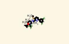 CCSc1ccc(-c2cc(F)cc(F)c2)nc1/C(C)=N/C(/C=C(\CC1CC1)C(F)(F)F)=C(\C)C(C)=O